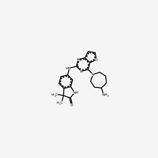 CC1(C)C(=O)Nc2cc(Nc3nc(N4CCCC(N)CC4)c4occc4n3)ccc21